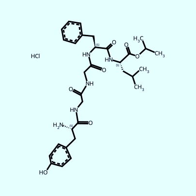 CC(C)C[C@H](NC(=O)[C@H](Cc1ccccc1)NC(=O)CNC(=O)CNC(=O)[C@@H](N)Cc1ccc(O)cc1)C(=O)OC(C)C.Cl